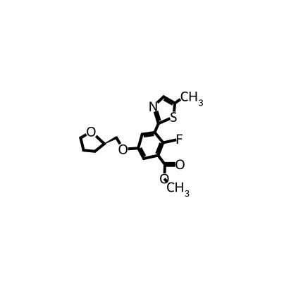 COC(=O)c1cc(OC[C@H]2CCCO2)cc(-c2ncc(C)s2)c1F